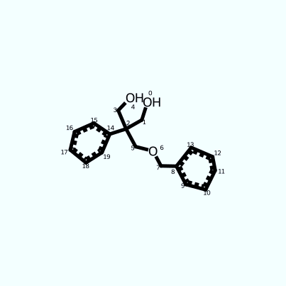 OCC(CO)(COCc1ccccc1)c1ccccc1